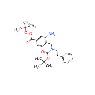 CC(C)(C)OOC(=O)c1ccc(CN(CCc2ccccc2)C(=O)OC(C)(C)C)c(N)c1